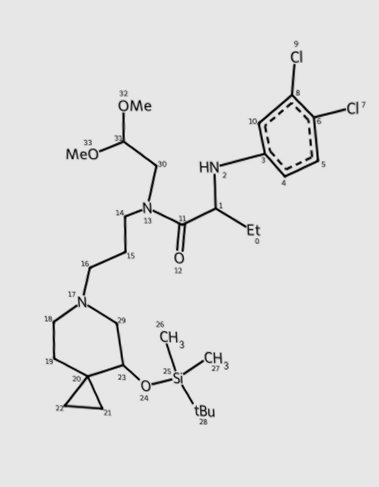 CCC(Nc1ccc(Cl)c(Cl)c1)C(=O)N(CCCN1CCC2(CC2)C(O[Si](C)(C)C(C)(C)C)C1)CC(OC)OC